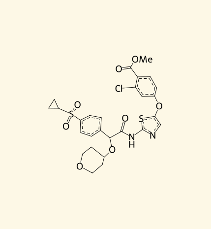 COC(=O)c1ccc(Oc2cnc(NC(=O)C(OC3CCOCC3)c3ccc(S(=O)(=O)C4CC4)cc3)s2)cc1Cl